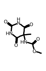 COC(=O)NC1(C)C(=O)NC(=O)NC1=O